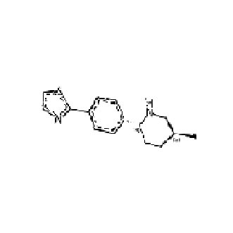 C[C@H]1CC[C@H](c2ccc(-c3nccs3)cc2)NC1